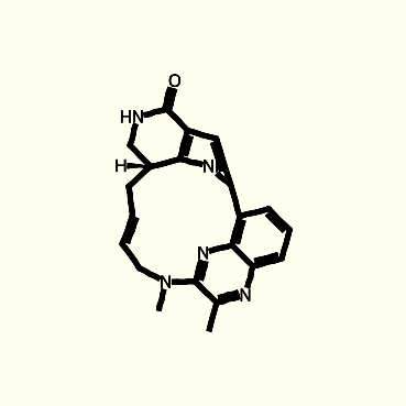 Cc1nc2cccc3c2nc1N(C)C/C=C/C[C@@H]1CNC(=O)c2cc-3[nH]c21